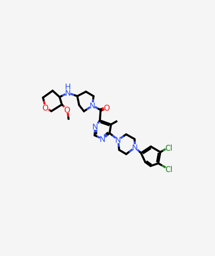 COC1COCCC1NC1CCN(C(=O)c2ncnc(N3CCN(c4ccc(Cl)c(Cl)c4)CC3)c2C)CC1